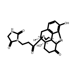 O=C1CC[C@@]2(O)[C@H]3Cc4ccc(O)c5c4[C@@]2(CCN3C(=O)CCN2C(=O)CNC2=O)[C@H]1O5